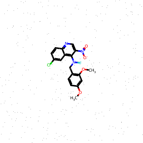 COc1ccc(CN(F)c2c([N+](=O)[O-])cnc3ccc(Cl)cc23)c(OC)c1